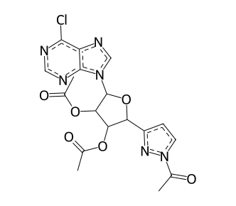 CC(=O)OC1C(c2ccn(C(C)=O)n2)OC(n2cnc3c(Cl)ncnc32)C1OC(C)=O